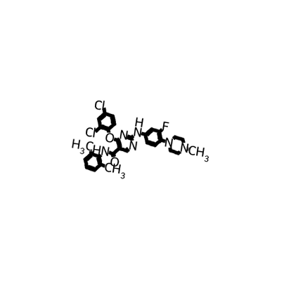 Cc1cccc(C)c1NC(=O)c1cnc(Nc2ccc(N3CCN(C)CC3)c(F)c2)nc1Oc1ccc(Cl)cc1Cl